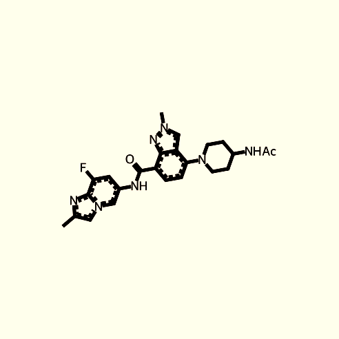 CC(=O)NC1CCN(c2ccc(C(=O)Nc3cc(F)c4nc(C)cn4c3)c3nn(C)cc23)CC1